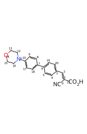 N#C/C(=C\c1ccc(-c2ccc(N3CCOCC3)cc2)cc1)C(=O)O